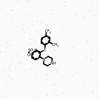 Cc1cc(C(F)(F)F)ccc1Sc1ccccc1N1CCNCC1.O=S(=O)(O)O